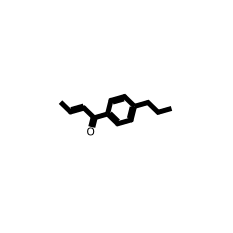 CC=CC(=O)c1ccc(CCC)cc1